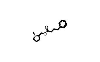 CN1CCCC1COC(=O)CCCc1ccccc1